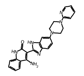 Nc1c(-c2nc3ccc(N4CCN(c5ccccn5)CC4)cc3[nH]2)c(=O)[nH]c2ccccc12